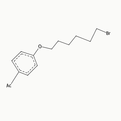 CC(=O)c1ccc(OCCCCCCBr)cc1